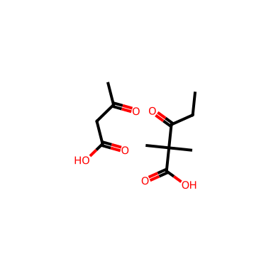 CC(=O)CC(=O)O.CCC(=O)C(C)(C)C(=O)O